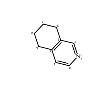 C1=CC2=C(C=[N+]1)CCCC2